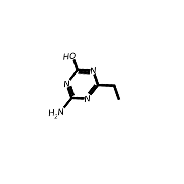 CCc1nc(N)nc(O)n1